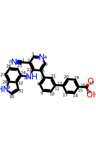 N#Cc1cncc(-c2cccc(-c3ccc(C(=O)O)cc3)c2)c1Nc1cccc2[nH]ccc12